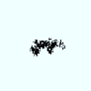 CC(C)(C)OC(=O)N[C@H](c1nc2c(F)c(C(NC[C@H](N=[N+]=[N-])C(F)(F)F)C3CC3)ccc2o1)C1CCC(F)(F)CC1